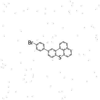 Brc1ccc(-c2ccc3c(c2)-c2cccc4cccc(c24)S3)cc1